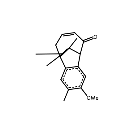 COc1cc2c(cc1C)C13CC=CC(=O)C2C1(C)CCCC3(C)C